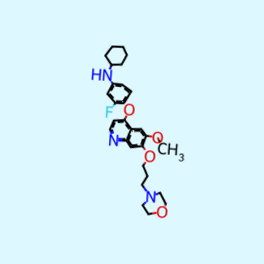 COc1cc2c(Oc3ccc(NC4CCCCC4)cc3F)ccnc2cc1OCCCN1CCOCC1